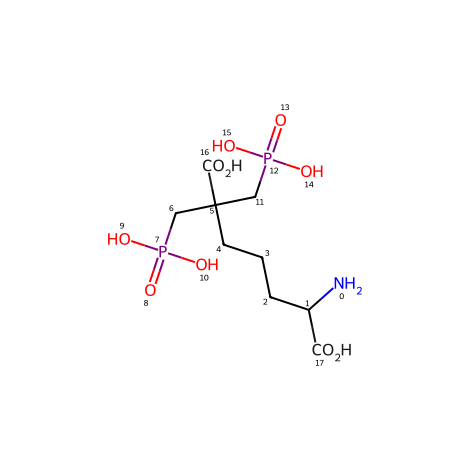 NC(CCCC(CP(=O)(O)O)(CP(=O)(O)O)C(=O)O)C(=O)O